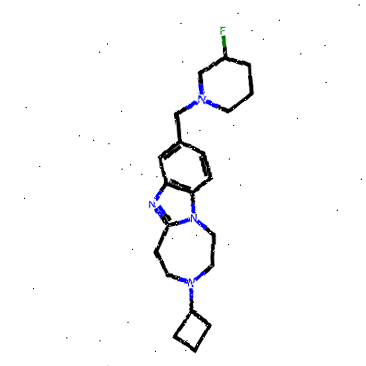 FC1CCCN(Cc2ccc3c(c2)nc2n3CCN(C3CCC3)CC2)C1